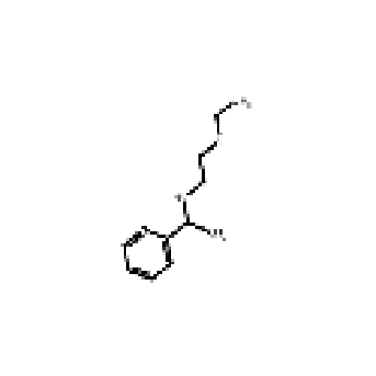 CCSCCNC(C)c1ccccn1